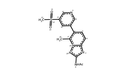 CC(=O)Nc1nc2ccc(-c3cncc(S(C)(=O)=O)c3)c(C)n2n1